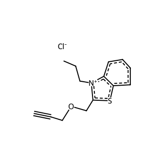 C#CCOCc1sc2ccccc2[n+]1CCC.[Cl-]